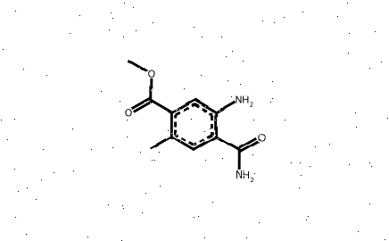 COC(=O)c1cc(N)c(C(N)=O)cc1C